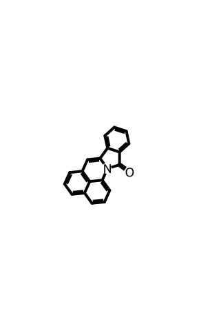 O=C1c2ccccc2C2=Cc3cccc4cccc(c34)N12